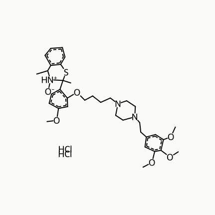 COc1ccc(C2(C)Sc3ccccc3C(C)[NH+]2[O-])c(OCCCCN2CCN(CCc3cc(OC)c(OC)c(OC)c3)CC2)c1.Cl.Cl